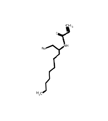 C=CC(=O)NC([CH2][Na])CCCCCCCC